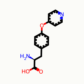 N[C@@H](Cc1ccc(Oc2ccncc2)cc1)C(=O)O